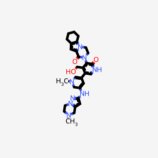 CN1C=C(c2c[nH]c(=O)c(N3CCn4c(cc5c4CCCC5)C3=O)c2CO)C=C(Nc2cc3n(n2)CCN(C)C3)C1